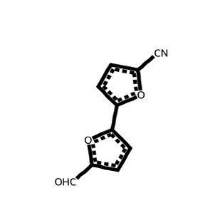 N#Cc1ccc(-c2ccc(C=O)o2)o1